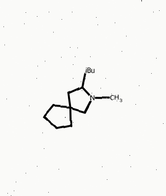 CCC(C)C1CC2(CCCC2)CN1C